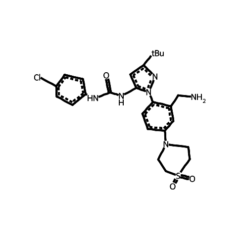 CC(C)(C)c1cc(NC(=O)Nc2ccc(Cl)cc2)n(-c2ccc(N3CCS(=O)(=O)CC3)cc2CN)n1